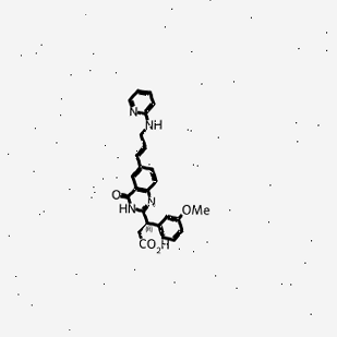 COc1cccc([C@@H](CC(=O)O)c2nc3ccc(C=CCNc4ccccn4)cc3c(=O)[nH]2)c1